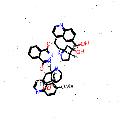 CCC1(O)CCN2CCC1C[C@@H]2[C@@H](Oc1nnc(O[C@H](c2ccnc3ccc(CO)cc23)[C@@H]2N3CC[C@H]4C(O)(CC)CC243)c2ccccc12)c1ccnc2ccc(OC)cc12